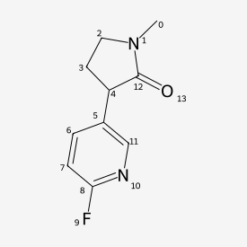 CN1CCC(c2ccc(F)nc2)C1=O